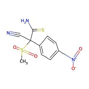 CS(=O)(=O)C(C#N)(C(N)=S)c1ccc([N+](=O)[O-])cc1